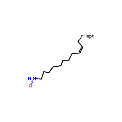 CCCCCCCC/C=C\CCCCCCCC[NH2+][O-]